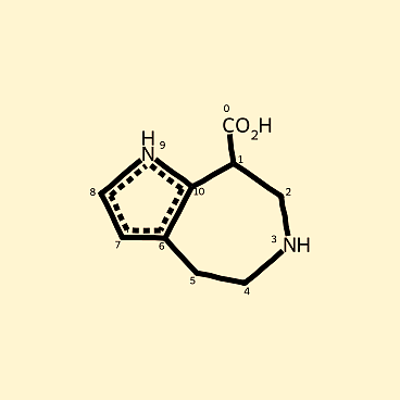 O=C(O)C1CNCCc2cc[nH]c21